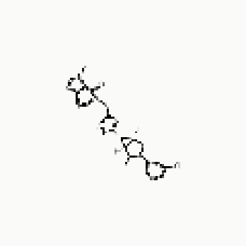 CC1[C@@H]2[C@H](CN1c1cccc(Cl)c1)[C@H]2c1noc(Cn2cnc3ncn(C)c3c2=O)n1